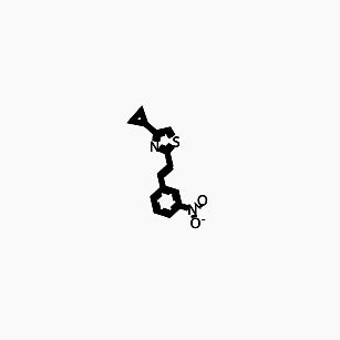 O=[N+]([O-])c1cccc(C=Cc2nc(C3CC3)cs2)c1